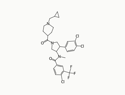 CN(C(=O)c1ccc(Cl)c(C(F)(F)F)c1)C1CN(C(=O)C2CCN(CC3CC3)CC2)CC1c1ccc(Cl)c(Cl)c1